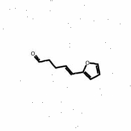 O=CCCC=Cc1ccco1